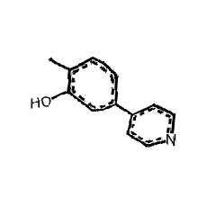 Cc1ccc(-c2ccncc2)cc1O